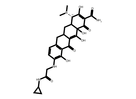 CN(C)[C@@H]1C(O)=C(C(N)=O)C(=O)C2(O)C(O)=C3C(=O)c4c(ccc(NCC(=O)NC5CC5)c4O)CC3CC12